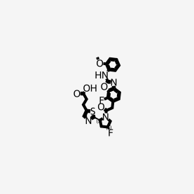 COc1ccccc1Nc1nc2ccc(CC(=O)N3C[C@@H](F)C[C@H]3c3ncc(CCC(=O)O)s3)c(F)c2o1